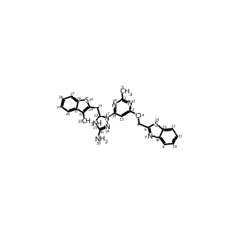 Cc1nc(OCc2nc3ccccc3s2)cc(N2N=C(N)NC2Cc2sc3ccccc3c2C)n1